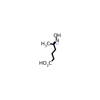 C/C(CCCC(=O)O)=N\O